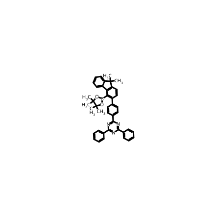 CC1(C)c2ccccc2-c2c1ccc(-c1ccc(-c3nc(-c4ccccc4)nc(-c4ccccc4)n3)cc1)c2B1OC(C)(C)C(C)(C)O1